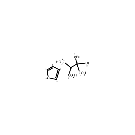 CCCCC(O)(C(=O)O)C(C(=O)O)C(=O)O.c1ccoc1